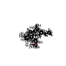 CCCC[C@H](OC1C(NC(C)=O)[C@H](O[C@@H]2CC(C(=O)NCCNC(=O)C3CC(n4cc(-c5cc(F)c(F)c(F)c5)nn4)C(O)[C@H](O[C@@H]4OC(CO)[C@H](O)C(n5cc(-c6cc(F)c(F)c(F)c6)nn5)C4O)C3)CC(NC(C)=O)C2O[C@@H]2OC(C)[C@@H](O)C(O)C2O)OC(CO)[C@@H]1O)C(=O)O